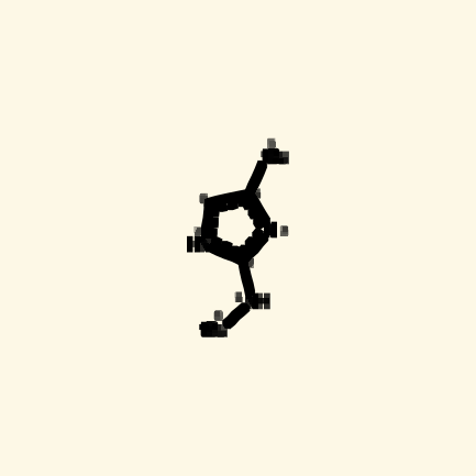 CC(C)(C)Nc1nc(C(C)(C)C)c[nH]1